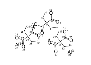 CCC(CC)(C(=O)[O-])C(=O)[O-].CCC(CC)(C(=O)[O-])C(=O)[O-].CCC(CC)(C(=O)[O-])C(=O)[O-].[Al+3].[Al+3]